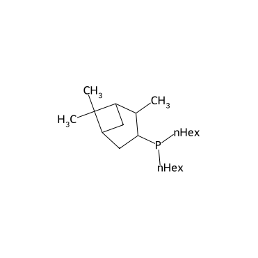 CCCCCCP(CCCCCC)C1CC2CC(C1C)C2(C)C